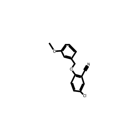 COc1cccc(COc2ccc(Cl)cc2C#N)c1